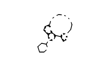 c1cc2c3cc1OCCCOCCCn1ncc(n1)-c3nn2C1CCCCO1